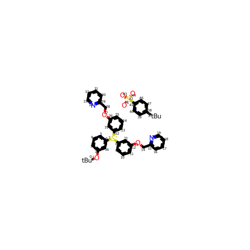 CC(C)(C)Oc1cccc([S+](c2cccc(OCc3ccccn3)c2)c2cccc(OCc3ccccn3)c2)c1.CC(C)(C)c1ccc(S(=O)(=O)[O-])cc1